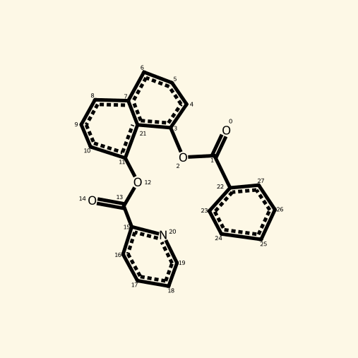 O=C(Oc1cccc2cccc(OC(=O)c3ccccn3)c12)c1ccccc1